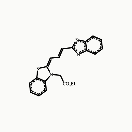 CCOC(=O)CN1C(=CC=Cc2nc3ccccc3s2)Sc2ccccc21